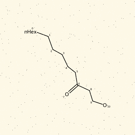 CCCCCCCCCCCC(=O)CC[O]